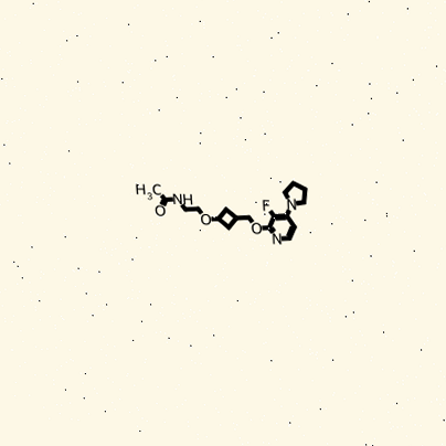 CC(=O)NCCOC1CC(COc2nccc(N3CCCC3)c2F)C1